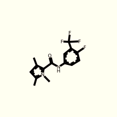 Cc1cc(C)n(C)c1C(=O)Nc1ccc(F)c(C(F)(F)F)c1